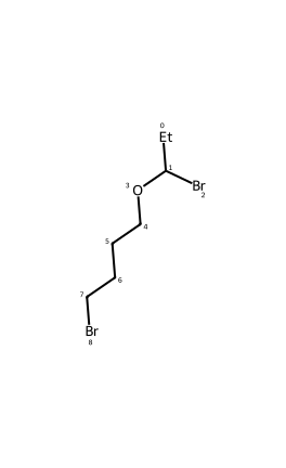 CCC(Br)OCCCCBr